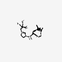 Cc1cnc(NC2CCN(CC(F)(F)F)C2)cc1C